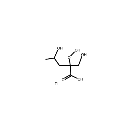 CC(O)CC(CO)(OO)C(=O)O.[Ti]